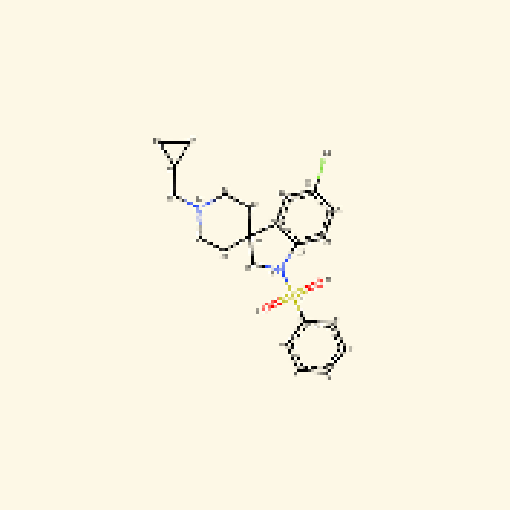 O=S(=O)(c1ccccc1)N1CC2(CCN(CC3CC3)CC2)c2cc(F)ccc21